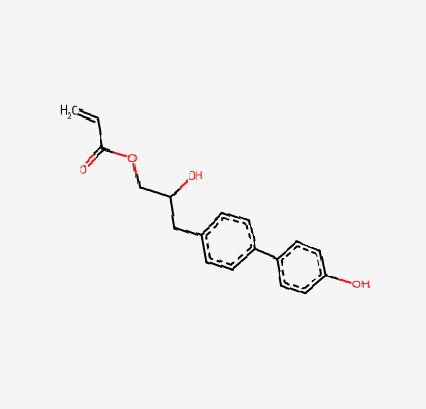 C=CC(=O)OCC(O)Cc1ccc(-c2ccc(O)cc2)cc1